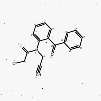 C#CCN(C(=O)CCl)c1ccccc1C(=O)c1ccccc1